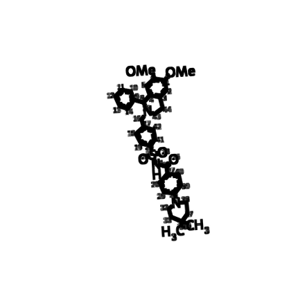 COc1cc2c(cc1OC)C(c1ccccc1)N(Cc1ccc(S(=O)(=O)NC(=O)c3ccc(N4CCC(C)(C)CC4)cc3)cc1)CC2